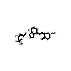 C=C1CC[C@H](O)C/C1=C/C=C1\CCC[C@@]2(C)C1CC[C@@H]2C/C=C/[C@@H](C)C(C)(C)O